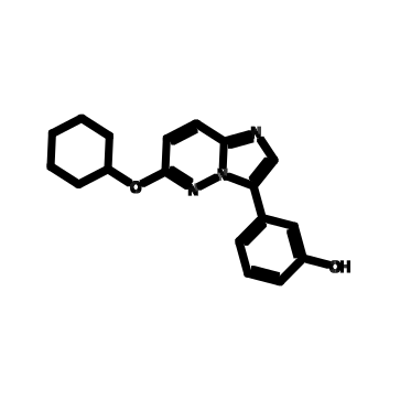 Oc1cccc(-c2cnc3ccc(OC4CCCCC4)nn23)c1